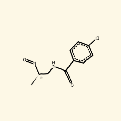 C[C@@H](CNC(=O)c1ccc(Cl)cc1)N=O